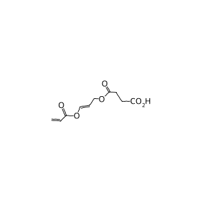 C=CC(=O)OC=CCOC(=O)CCC(=O)O